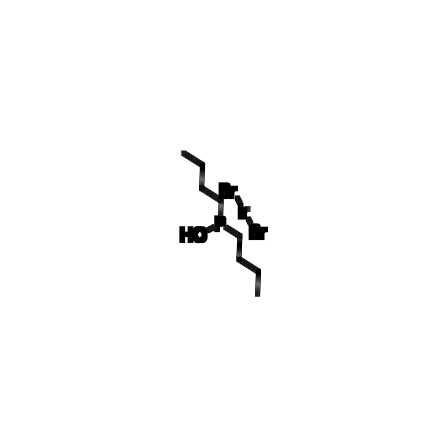 CCCCP(O)CCCC.[Br][Ir][Br]